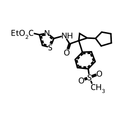 CCOC(=O)c1csc(NC(=O)C2(c3ccc(S(C)(=O)=O)cc3)CC2C2CCCC2)n1